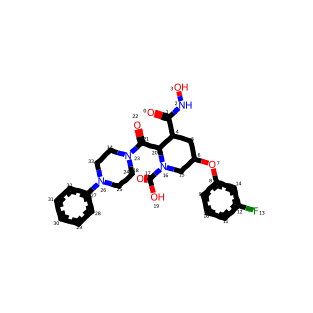 O=C(NO)C1CC(Oc2cccc(F)c2)CN(C(=O)O)C1C(=O)N1CCN(c2ccccc2)CC1